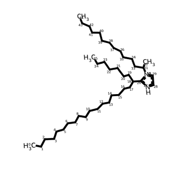 CCCCCCCCCCCCCCCCCCC(CCCCCCC)c1[nH]cc[n+]1C(C)CCCCCCCCCCCC